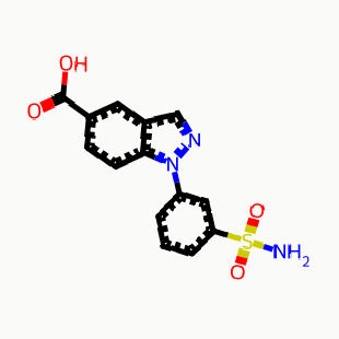 NS(=O)(=O)c1cccc(-n2ncc3cc(C(=O)O)ccc32)c1